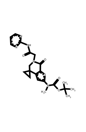 CN(C(=O)OC(C)(C)C)c1cc2c(s1)C(=O)N(CC(=O)Nc1ncccn1)CC21CC1